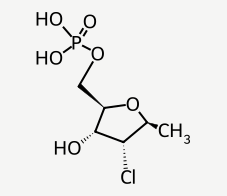 C[C@@H]1O[C@H](COP(=O)(O)O)[C@@H](O)[C@H]1Cl